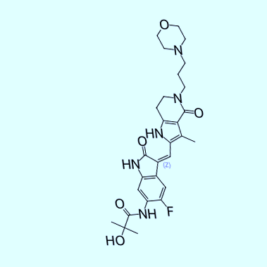 Cc1c(/C=C2\C(=O)Nc3cc(NC(=O)C(C)(C)O)c(F)cc32)[nH]c2c1C(=O)N(CCCN1CCOCC1)CC2